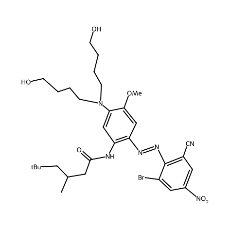 COc1cc(/N=N/c2c(Br)cc([N+](=O)[O-])cc2C#N)c(NC(=O)CC(C)CC(C)(C)C)cc1N(CCCCO)CCCCO